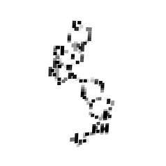 CNc1cc2cc(-c3cnn(C)c3CN3CCOCC3)ccc2cn1